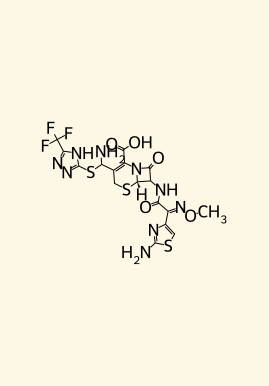 CON=C(C(=O)NC1C(=O)N2C(C(=O)O)=C(C(N)Sc3nnc(C(F)(F)F)[nH]3)CS[C@@H]12)c1csc(N)n1